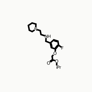 CC(C)OC(=O)COc1cc(CNCCN2CCCCC2)ccc1F